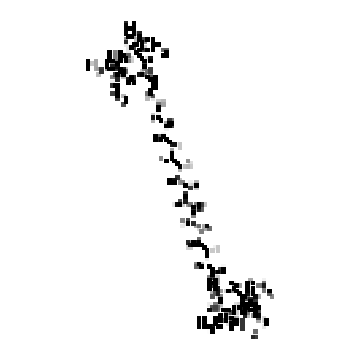 CC1(C)CC(N=CCCCCCCCCCCCCCCCCC=NC2CC(C)(C)NC(C)(C)C2)CC(C)(C)N1